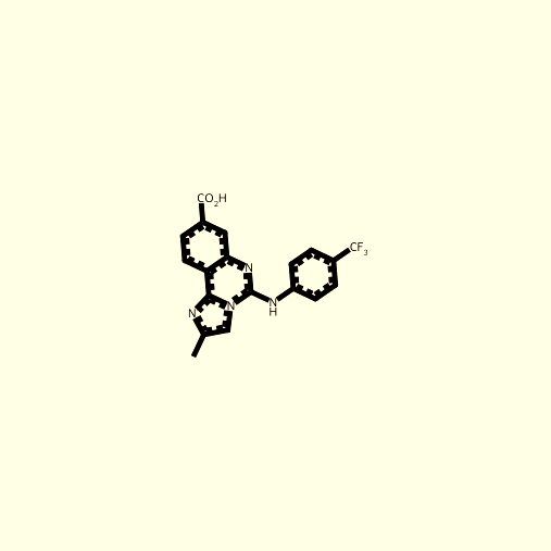 Cc1cn2c(Nc3ccc(C(F)(F)F)cc3)nc3cc(C(=O)O)ccc3c2n1